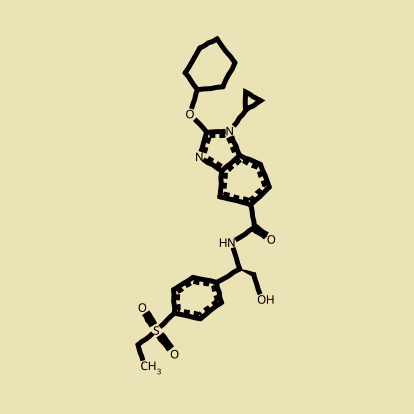 CCS(=O)(=O)c1ccc([C@H](CO)NC(=O)c2ccc3c(c2)nc(OC2CCCCC2)n3C2CC2)cc1